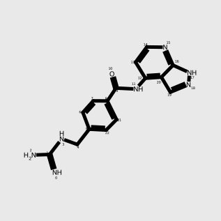 N=C(N)NCc1ccc(C(=O)Nc2ccnc3[nH]ncc23)cc1